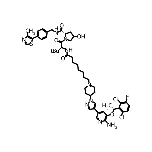 Cc1ncsc1-c1ccc(CNC(=O)[C@@H]2C[C@@H](O)CN2C(=O)[C@@H](NC(=O)CCCCCCCN2CCC(n3cc(-c4cnc(N)c(O[C@H](C)c5c(Cl)ccc(F)c5Cl)c4)cn3)CC2)C(C)(C)C)cc1